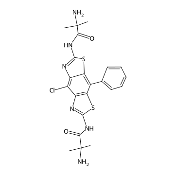 CC(C)(N)C(=O)Nc1nc2c(Cl)c3nc(NC(=O)C(C)(C)N)sc3c(-c3ccccc3)c2s1